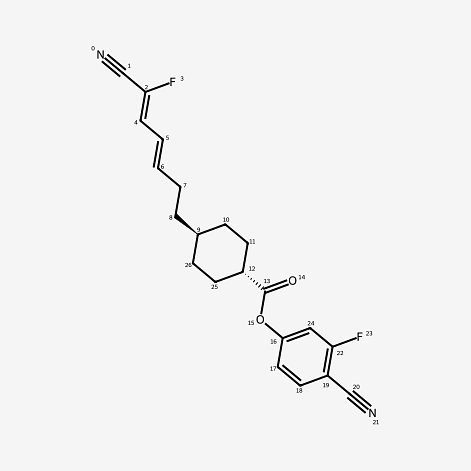 N#CC(F)=CC=CCC[C@H]1CC[C@H](C(=O)Oc2ccc(C#N)c(F)c2)CC1